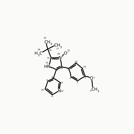 COc1ccc(-c2c(-c3cccnc3)[nH]c(C(C)(C)C)[n+]2[O-])cc1